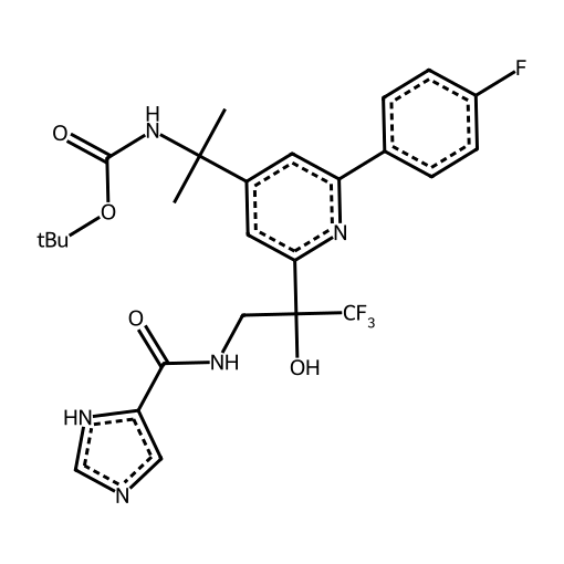 CC(C)(C)OC(=O)NC(C)(C)c1cc(-c2ccc(F)cc2)nc(C(O)(CNC(=O)c2cnc[nH]2)C(F)(F)F)c1